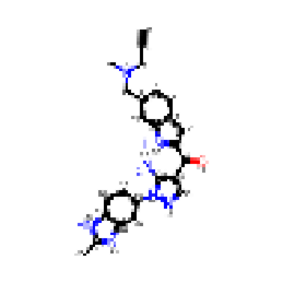 C#CCN(C)Cc1ccc2cc(C(=O)c3cnn(-c4ccc5[nH]c(C)nc5c4)c3N)[nH]c2c1